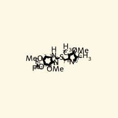 COc1cc2[nH]c(SCc3ncc(C)c(OC)c3C)nc2c(OC)c1OC(F)F